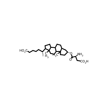 CC12CC[C@@H](OC(=O)[C@@H](N)CC(=O)O)CC1CCC1C2CCC2(C)C1CCC2[C@H](I)CCCCC(=O)O